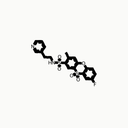 Cc1cc2c(cc1S(=O)(=O)NCCc1cccnc1)S(=O)(=O)c1cc(F)ccc1O2